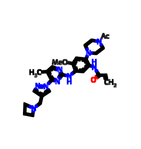 C=CC(=O)Nc1cc(Nc2ncc(C)c(-n3cc(CN4CCC4)cn3)n2)c(OC)cc1N1CCN(C(C)=O)CC1